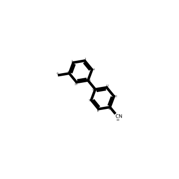 Cc1cc[c]c(-c2ccc(C#N)cc2)c1